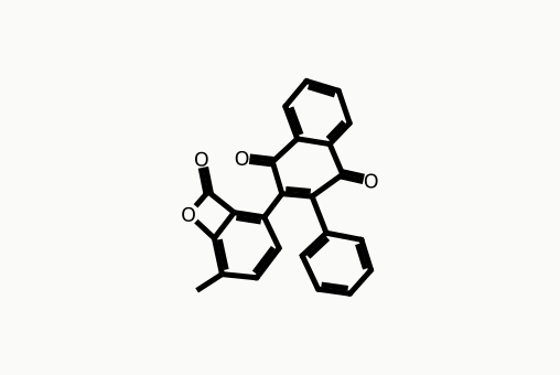 Cc1ccc(C2=C(c3ccccc3)C(=O)c3ccccc3C2=O)c2c1OC2=O